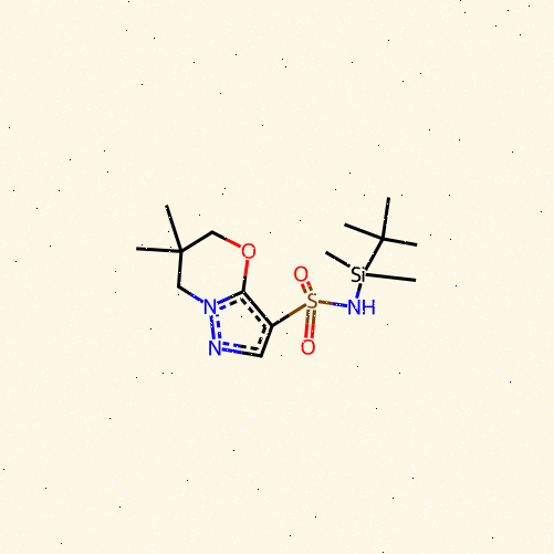 CC1(C)COc2c(S(=O)(=O)N[Si](C)(C)C(C)(C)C)cnn2C1